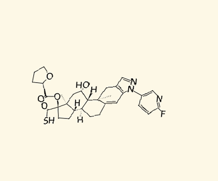 C[C@]12Cc3cnn(-c4ccc(F)nc4)c3C=C1CC[C@@H]1[C@@H]2[C@@H](O)C[C@@]2(C)[C@H]1CC[C@]2(OC(=O)[C@H]1CCCO1)C(=O)S